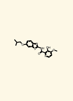 COc1ccnc(C(=O)Nc2nc3ccc(OCC(C)C)cc3s2)c1O